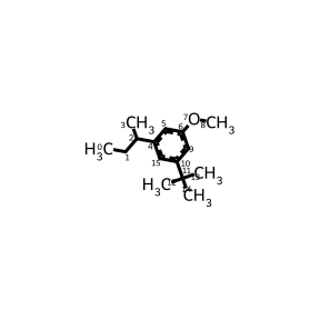 CCC(C)c1cc(OC)cc(C(C)(C)C)c1